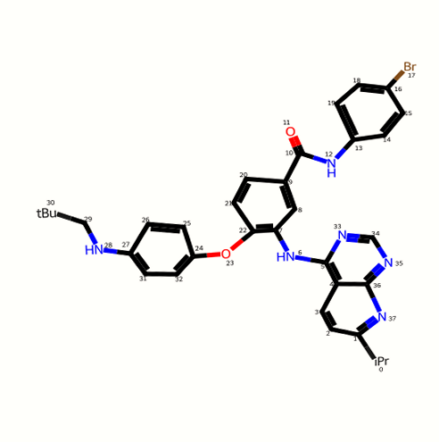 CC(C)c1ccc2c(Nc3cc(C(=O)Nc4ccc(Br)cc4)ccc3Oc3ccc(NCC(C)(C)C)cc3)ncnc2n1